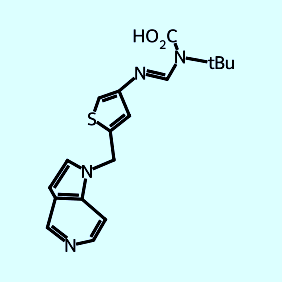 CC(C)(C)N(C=Nc1csc(Cn2ccc3cnccc32)c1)C(=O)O